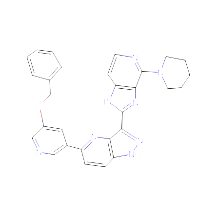 c1ccc(COc2cncc(-c3ccc4[nH]nc(-c5nc6c(N7CCCCC7)nccc6[nH]5)c4n3)c2)cc1